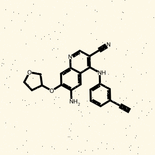 C#Cc1cccc(Nc2c(C#N)cnc3cc(OC4CCOC4)c(N)cc23)c1